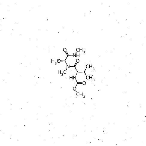 CNC(=O)[C@H](C)N(C)C(=O)[C@@H](NC(=O)OC)C(C)C